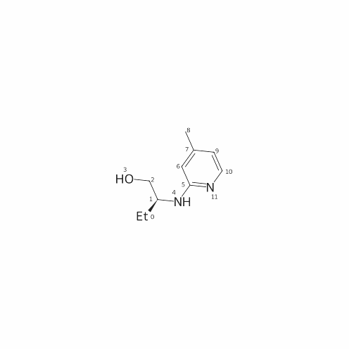 CC[C@@H](CO)Nc1cc(C)ccn1